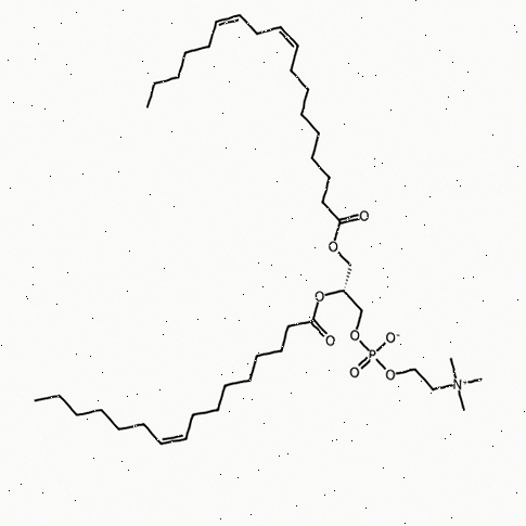 CCCCC/C=C\C/C=C\CCCCCCCC(=O)OC[C@H](COP(=O)([O-])OCC[N+](C)(C)C)OC(=O)CCCCCCC/C=C\CCCCCC